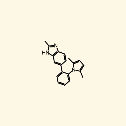 Cc1nc2ccc(-c3ccccc3-n3c(C)ccc3C)cc2[nH]1